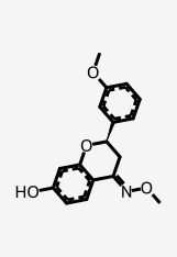 CON=C1C[C@H](c2cccc(OC)c2)Oc2cc(O)ccc21